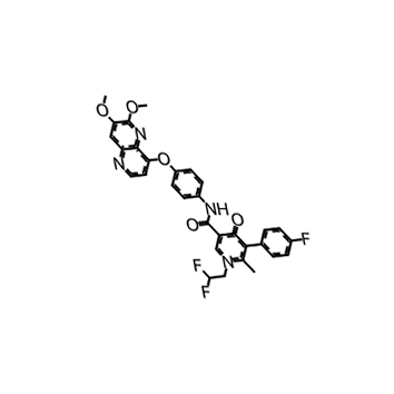 COc1cc2nccc(Oc3ccc(NC(=O)c4cn(CC(F)F)c(C)c(-c5ccc(F)cc5)c4=O)cc3)c2nc1OC